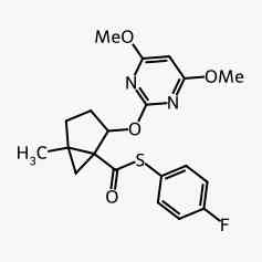 COc1cc(OC)nc(OC2CCC3(C)CC23C(=O)Sc2ccc(F)cc2)n1